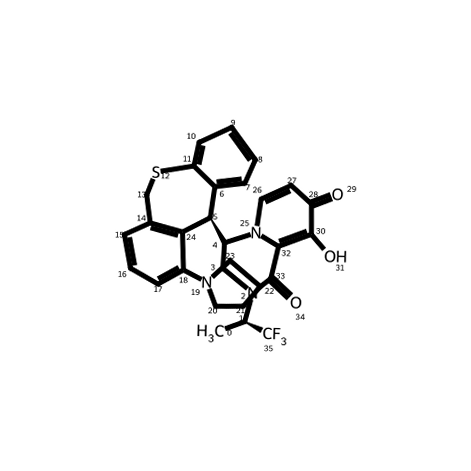 C[C@@H](N1CC([C@@H]2c3ccccc3SCc3cccc(N4CCCC4)c32)n2ccc(=O)c(O)c2C1=O)C(F)(F)F